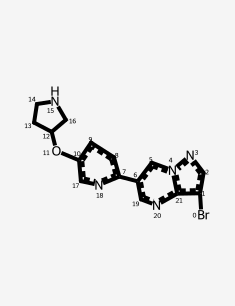 Brc1cnn2cc(-c3ccc(OC4CCNC4)cn3)cnc12